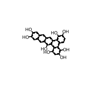 Oc1cc2cc3cc4c5c(O)c(O)ccc5c5c(O)c(O)cc(O)c5c4c(O)c3cc2cc1O